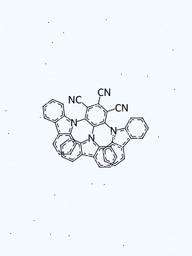 N#Cc1c(C#N)c(-n2c3ccccc3c3ccccc32)c(-n2c3ccccc3c3ccccc32)c(-n2c3ccccc3c3ccccc32)c1C#N